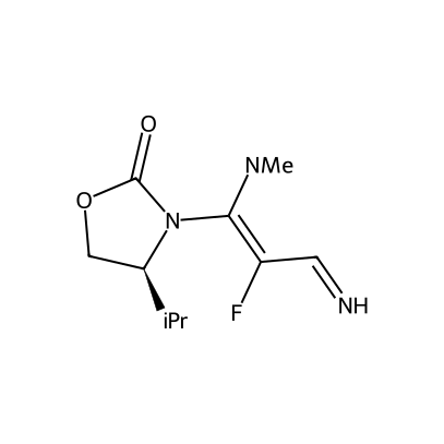 CN/C(=C(/F)C=N)N1C(=O)OC[C@@H]1C(C)C